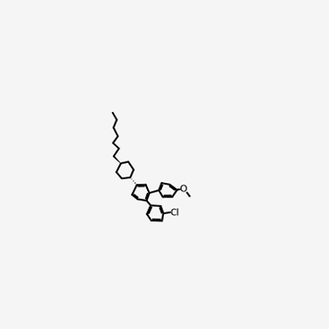 CCCCCCC[C@H]1CC[C@H](c2ccc(-c3cccc(Cl)c3)c(-c3ccc(OC)cc3)c2)CC1